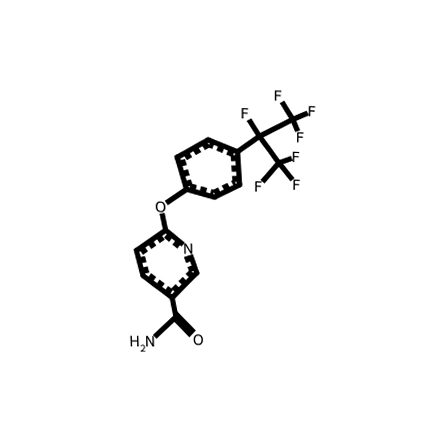 NC(=O)c1ccc(Oc2ccc(C(F)(C(F)(F)F)C(F)(F)F)cc2)nc1